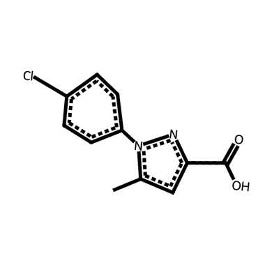 Cc1cc(C(=O)O)nn1-c1ccc(Cl)cc1